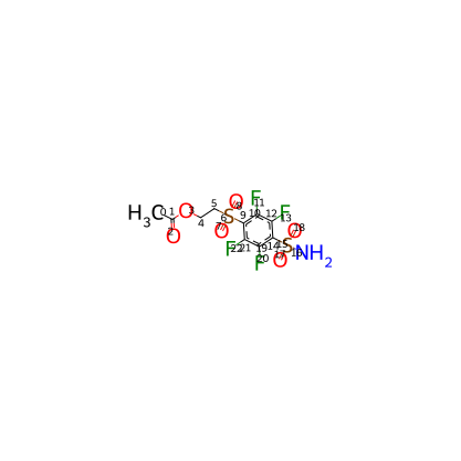 CC(=O)OCCS(=O)(=O)c1c(F)c(F)c(S(N)(=O)=O)c(F)c1F